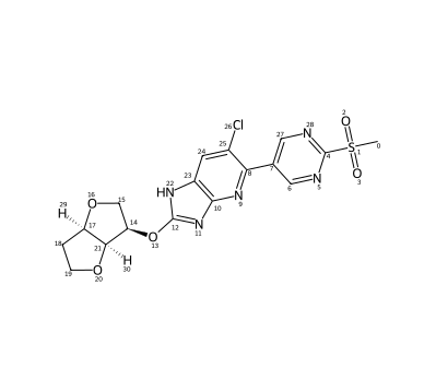 CS(=O)(=O)c1ncc(-c2nc3nc(O[C@@H]4CO[C@@H]5CCO[C@@H]54)[nH]c3cc2Cl)cn1